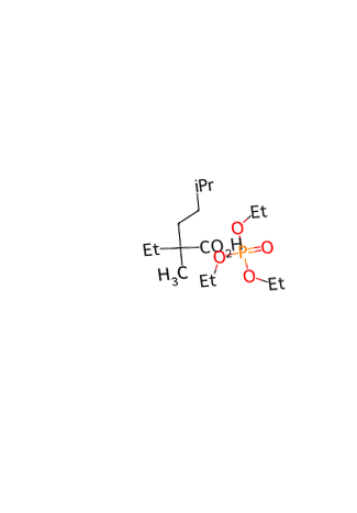 CCC(C)(CCC(C)C)C(=O)O.CCOP(=O)(OCC)OCC